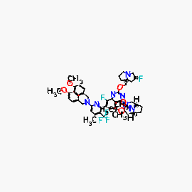 COc1ccc(CN(Cc2ccc(OC)cc2)c2cc(C)c(C(F)(F)F)c(-c3ccc4c(N5CC[C@H]6CC[C@H](C5)N6C(=O)OC(C)(C)C)nc(OC[C@@]56CCCN5C[C@H](F)C6)nc4c3F)n2)cc1